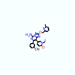 Cc1cccc(COc2nc3c(-c4ccc(=O)n(CI)c4)c(-c4cccc(C#N)c4)nc(N)n3n2)n1